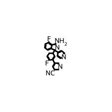 N#CC1C=C(C2=CC(C3(c4ccncc4)N=C(N)c4c(F)cccc43)CC=C2F)C=NC1